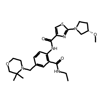 CCNC(=O)c1cc(CN2CCOCC2(C)C)ccc1NC(=O)c1csc(N2CC[C@H](OC)C2)n1